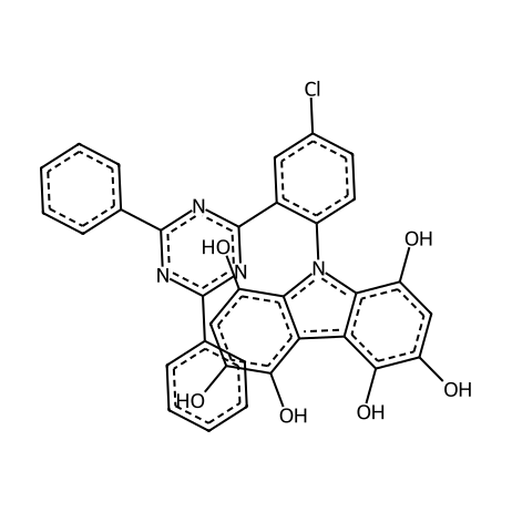 Oc1cc(O)c2c(c1O)c1c(O)c(O)cc(O)c1n2-c1ccc(Cl)cc1-c1nc(-c2ccccc2)nc(-c2ccccc2)n1